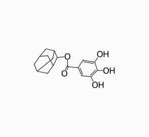 O=C(OC1C2CC3CC(C2)CC1C3)c1cc(O)c(O)c(O)c1